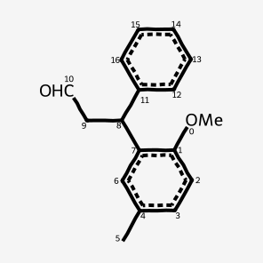 COc1ccc(C)cc1C(CC=O)c1ccccc1